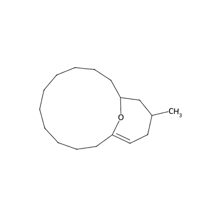 CC1CC=C2CCCCCCCCCCC(C1)O2